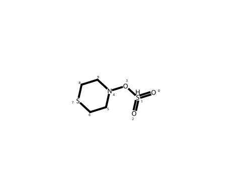 O=[SH](=O)ON1CCSCC1